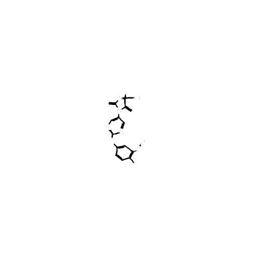 Cc1ccc(Oc2ncc(N3C(=O)NC(C)(C)C3=O)cn2)cc1OC(F)(F)F